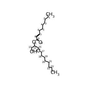 CCCCCCCC=CC(=O)OC(CO)COCCCCCCCC